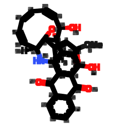 COC(=O)/C=C(\C)[C@@]12O[C@]13c1cc(O)c4c(c1N[C@H]2C#C/C=C\C#C[C@H]3O)C(=O)c1ccccc1C4=O